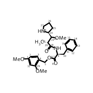 COc1ccc(COC(=O)[C@H](Cc2ccccc2)NC(=O)[C@H](C)C(OC)[C@@H]2CCCN2)c(OC)c1